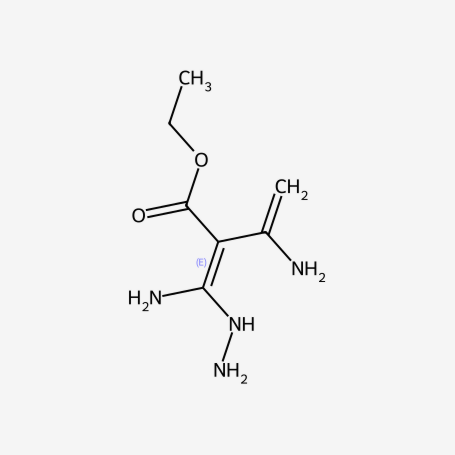 C=C(N)/C(C(=O)OCC)=C(/N)NN